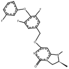 C[C@H]1Cn2c(cc(OCc3cc(F)c(Oc4cccc(F)c4)c(F)c3)nc2=O)N1C